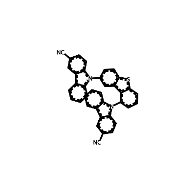 N#Cc1ccc2c(c1)c1ccccc1n2-c1ccc2sc3cccc(-n4c5ccccc5c5cc(C#N)ccc54)c3c2c1